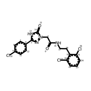 O=C(Cn1nc(-c2ccc(Cl)cc2)[nH]c1=O)NCCc1c(Cl)cccc1Cl